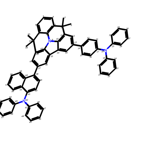 CC1(C)c2cccc3c2-n2c4c1cc(-c1ccc(N(c5ccccc5)c5ccccc5)cc1)cc4c1cc(-c4ccc(N(c5ccccc5)c5ccccc5)c5ccccc45)cc(c12)C3(C)C